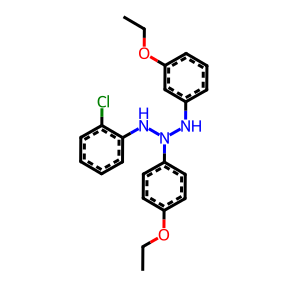 CCOc1ccc(N(Nc2cccc(OCC)c2)Nc2ccccc2Cl)cc1